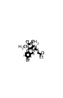 CCC(=O)CSc1nc2c(c(=O)n(C)c(=O)n2C)n1Cc1cccc(Br)c1